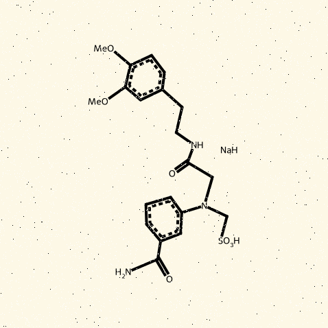 COc1ccc(CCNC(=O)CN(CS(=O)(=O)O)c2cccc(C(N)=O)c2)cc1OC.[NaH]